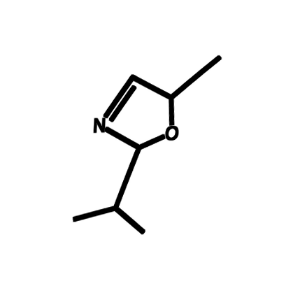 CC1C=NC(C(C)C)O1